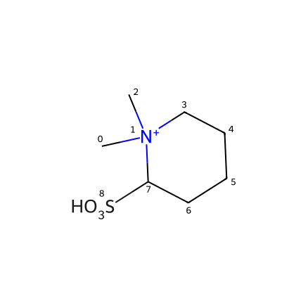 C[N+]1(C)CCCCC1S(=O)(=O)O